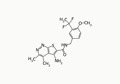 COc1ccc(CNC(=O)c2sc3nnc(C)c(C)c3c2N)cc1C(C)(F)F